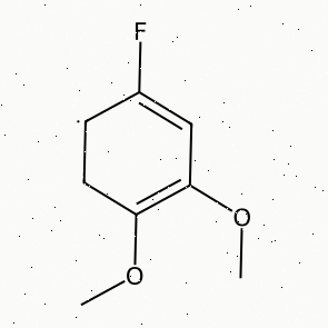 COC1=C(OC)C[CH]C(F)=C1